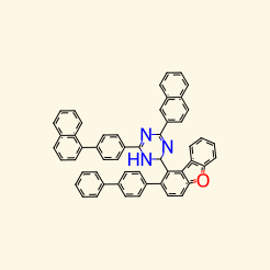 c1ccc(-c2ccc(-c3ccc4oc5ccccc5c4c3C3N=C(c4ccc5ccccc5c4)N=C(c4ccc(-c5cccc6ccccc56)cc4)N3)cc2)cc1